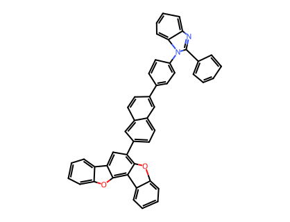 c1ccc(-c2nc3ccccc3n2-c2ccc(-c3ccc4cc(-c5cc6c7ccccc7oc6c6c5oc5ccccc56)ccc4c3)cc2)cc1